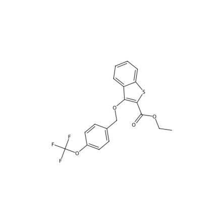 CCOC(=O)c1sc2ccccc2c1OCc1ccc(OC(F)(F)F)cc1